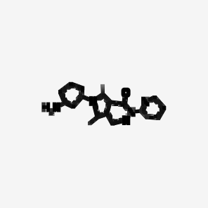 Cc1c2cnn(-c3ccccn3)c(=O)c2c(C)n1-c1cccc(N)c1